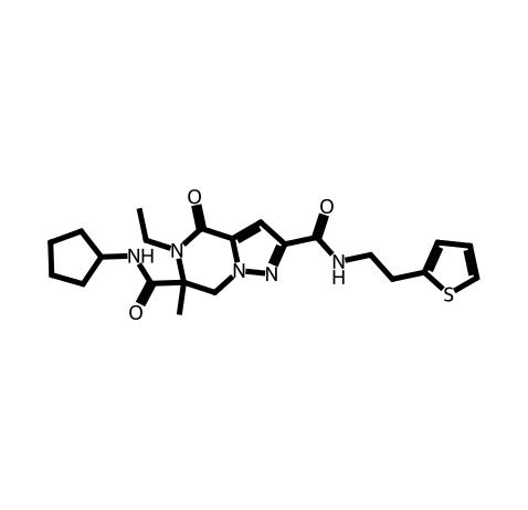 CCN1C(=O)c2cc(C(=O)NCCc3cccs3)nn2CC1(C)C(=O)NC1CCCC1